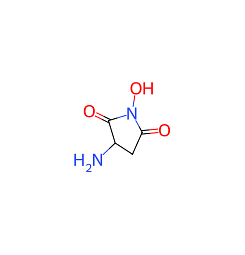 NC1CC(=O)N(O)C1=O